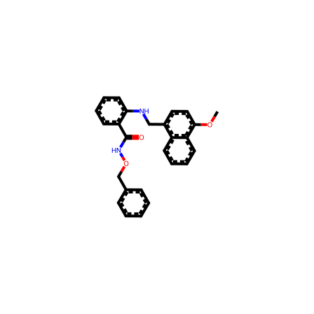 COc1ccc(CNc2ccccc2C(=O)NOCc2ccccc2)c2ccccc12